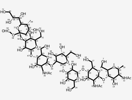 CC(=O)NC1[C@H](O[C@@H]2C(CO)O[C@@H](C)C(NC(C)=O)[C@H]2O)OC(CO)[C@@H](O[C@@H]2OC(CO)[C@@H](O)[C@H](O[C@H]3OC(CO)[C@@H](O)C(O)C3O[C@@H]3OC(CO)[C@@H](O[C@@H]4OC(CO)[C@H](O)[C@H](O[C@]5(OC=O)C[C@@H](O)[C@@H](C)C([C@@H](O)[C@H](O)CO)O5)C4O)[C@H](O)C3NC(C)=O)C2O)[C@@H]1O